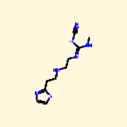 CNC(=NCCNCCc1ncc[nH]1)NC#N